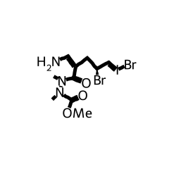 COC(=O)N(C)N(C)C(=O)/C(=C\N)C[C@H](Br)/C=I/Br